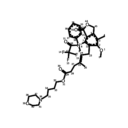 COc1c(C)c2c(c([N+](C)(C(=O)C(F)(F)F)c3ccccc3)c1C/C=C(\C)CCC(=O)OCCCCN1CCOCC1)C(=O)OC2